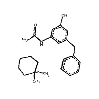 CC1(C)CCCCC1.O=C(O)Nc1cc(O)cc(Cc2ccccc2)c1